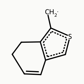 [CH2]c1scc2c1CCC=C2